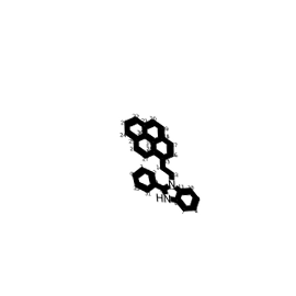 c1ccc(C2Nc3ccccc3N2CCc2ccc3ccc4cccc5ccc2c3c45)cc1